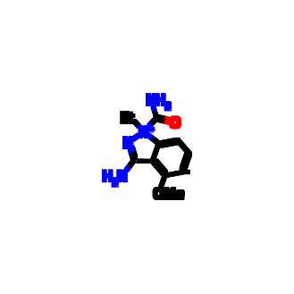 CC[N+]1(C(N)=O)N=C(N)c2c(OC)[c]ccc21